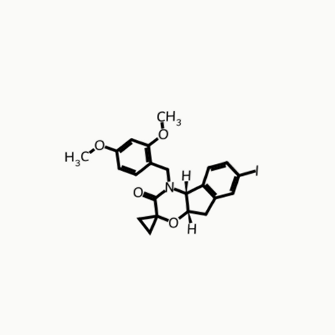 COc1ccc(CN2C(=O)C3(CC3)O[C@H]3Cc4cc(I)ccc4[C@H]32)c(OC)c1